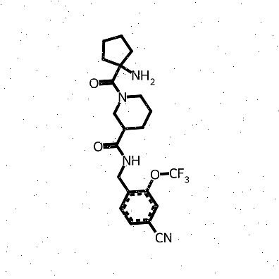 N#Cc1ccc(CNC(=O)C2CCCN(C(=O)C3(N)CCCC3)C2)c(OC(F)(F)F)c1